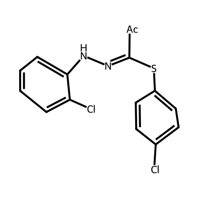 CC(=O)/C(=N\Nc1ccccc1Cl)Sc1ccc(Cl)cc1